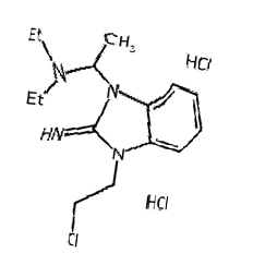 CCN(CC)C(C)n1c(=N)n(CCCl)c2ccccc21.Cl.Cl